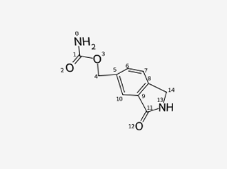 NC(=O)OCc1ccc2c(c1)C(=O)NC2